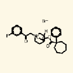 O=C(C[N+]12CCC(CC1)[C@@H](OC(=O)C1(c3ccccc3)CCCCCC1)C2)c1cccc(F)c1.[Br-]